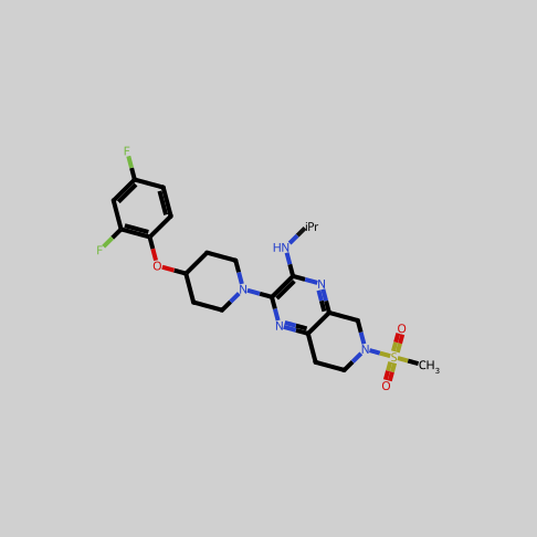 CC(C)Nc1nc2c(nc1N1CCC(Oc3ccc(F)cc3F)CC1)CCN(S(C)(=O)=O)C2